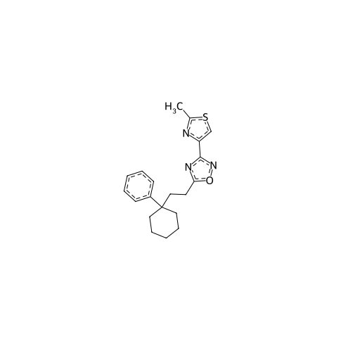 Cc1nc(-c2noc(CCC3(c4ccccc4)CCCCC3)n2)cs1